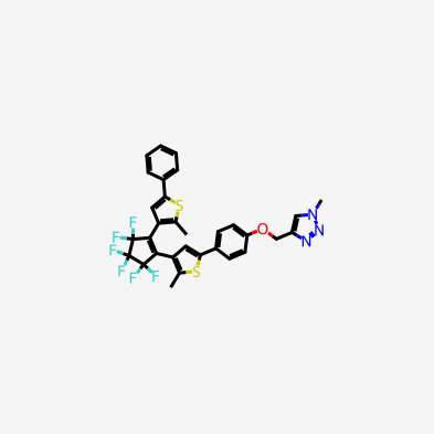 Cc1sc(-c2ccccc2)cc1C1=C(c2cc(-c3ccc(OCc4cn(C)nn4)cc3)sc2C)C(F)(F)C(F)(F)C1(F)F